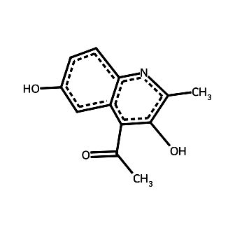 CC(=O)c1c(O)c(C)nc2ccc(O)cc12